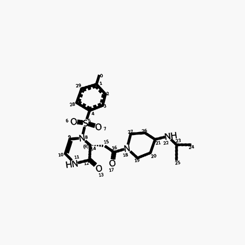 Cc1ccc(S(=O)(=O)N2C=CNC(=O)[C@H]2CC(=O)N2CCC(NC(C)C)CC2)cc1